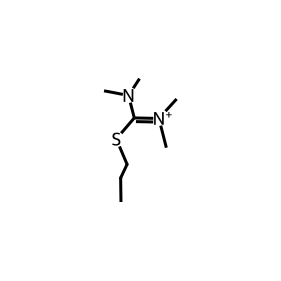 CCCSC(N(C)C)=[N+](C)C